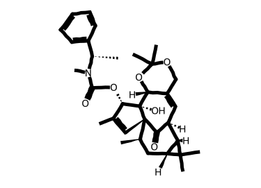 CC1=C[C@]23C(=O)[C@@H](C=C4COC(C)(C)O[C@H]4[C@]2(O)[C@H]1OC(=O)N(C)[C@@H](C)c1ccccc1)[C@H]1[C@@H](C[C@H]3C)C1(C)C